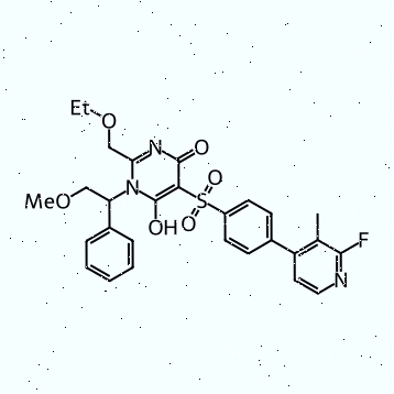 CCOCc1nc(=O)c(S(=O)(=O)c2ccc(-c3ccnc(F)c3C)cc2)c(O)n1C(COC)c1ccccc1